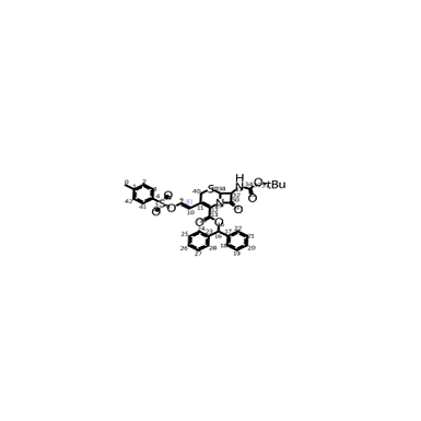 Cc1ccc(S(=O)(=O)O/C=C/C2=C(C(=O)OC(c3ccccc3)c3ccccc3)N3C(=O)C(NC(=O)OC(C)(C)C)C3SC2)cc1